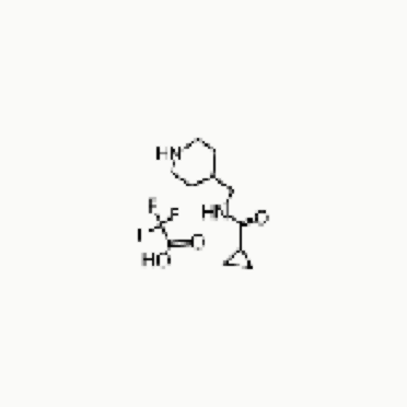 O=C(NCC1CCNCC1)C1CC1.O=C(O)C(F)(F)F